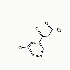 CCC(=O)CC(=O)c1cccc(Cl)c1